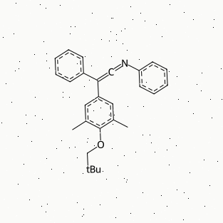 Cc1cc(C(=C=Nc2ccccc2)c2ccccc2)cc(C)c1OCC(C)(C)C